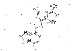 C/C=C/C(CCC1=CC=CN2CCN=C12)=C(\C=C(/C)CC)C(C)C